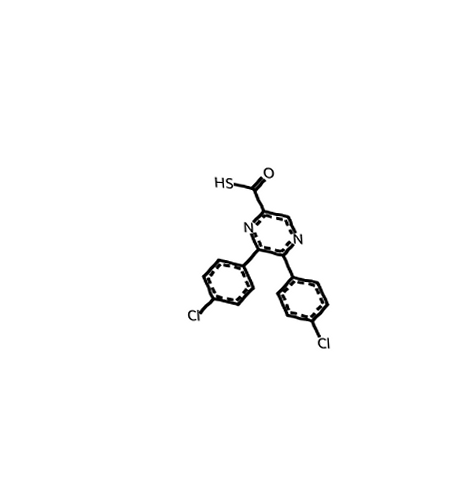 O=C(S)c1cnc(-c2ccc(Cl)cc2)c(-c2ccc(Cl)cc2)n1